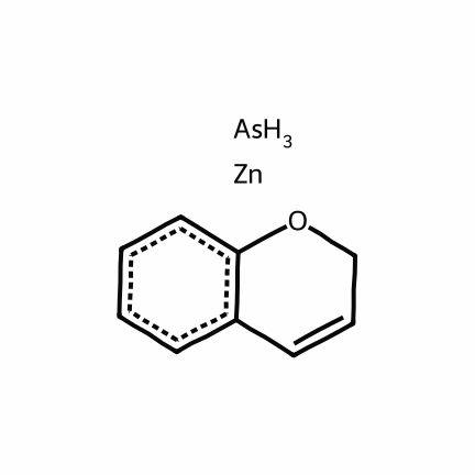 C1=Cc2ccccc2OC1.[AsH3].[Zn]